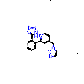 c1ccc(-c2nnn[nH]2)c(-c2cc(Cn3ccnn3)ccn2)c1